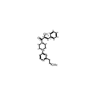 CC(=O)OCCc1nccc(N2CCN(C(=O)C(C)=Cc3ccccc3)CC2)n1